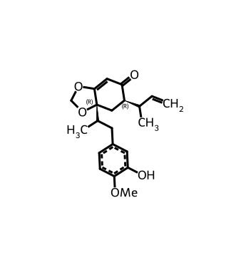 C=CC(C)[C@H]1C[C@]2(C(C)Cc3ccc(OC)c(O)c3)OCOC2=CC1=O